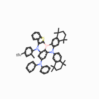 Cc1cc(C(C)(C)C)ccc1N1c2cc(N(c3ccccc3)c3ccccc3)cc3c2B(c2cc4c(cc2N3c2ccc3c(c2)C(C)(C)CCC3(C)C)C(C)(C)CCC4(C)C)c2sc3ccccc3c21